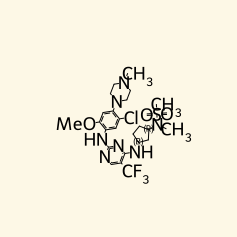 COc1cc(N2CCN(C)CC2)c(Cl)cc1Nc1ncc(C(F)(F)F)c(N[C@@H]2CC[C@@H](N(C)S(C)(=O)=O)C2)n1